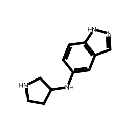 c1cc2[nH]ncc2cc1NC1CCNC1